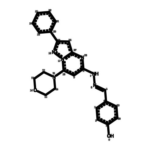 Oc1ccc(/C=N/Nc2cc(N3CCOCC3)n3nc(-c4ccccc4)cc3n2)cc1